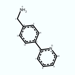 NCc1ccc(-c2ccc[c]n2)cc1